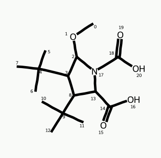 COC1C(C(C)(C)C)C(C(C)(C)C)C(C(=O)O)N1C(=O)O